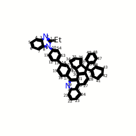 CCc1nc2ccccc2n1-c1ccc(-c2ccc(-c3nc4ccccc4c4ccc5c(c34)-c3ccccc3C5(c3ccccc3)c3ccccc3)cc2)cc1